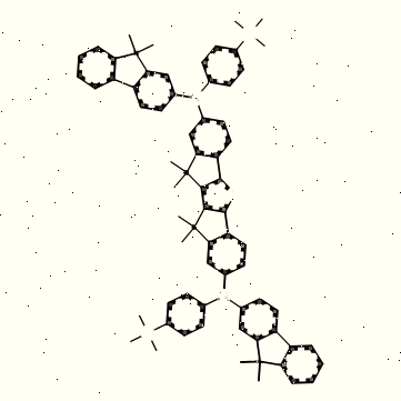 CC1(C)c2ccccc2-c2ccc(N(c3ccc([Si](C)(C)C)cc3)c3ccc4c(c3)C(C)(C)c3c-4sc4c3C(C)(C)c3cc(N(c5ccc([Si](C)(C)C)cc5)c5ccc6c(c5)C(C)(C)c5ccccc5-6)ccc3-4)cc21